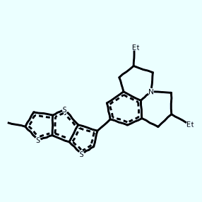 CCC1Cc2cc(-c3csc4c3sc3cc(C)sc34)cc3c2N(C1)CC(CC)C3